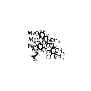 C=C/C(Cl)=C(C[C@H](OC(=O)N(C)Cc1ccc(OC)c(OC)c1)c1ccc(OC(F)F)c(OCC2CC2)c1)\C(Cl)=C/C